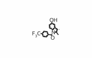 Cc1[c]c2cc(O)ccc2n1C(=O)c1ccc(C(F)(F)F)cc1